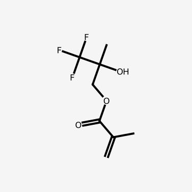 C=C(C)C(=O)OCC(C)(O)C(F)(F)F